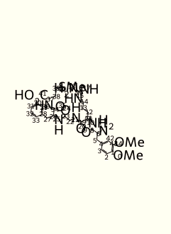 COc1ccc(CC(N)C(=O)N[C@H](CCCNC(=N)N)C(=O)NCC(=O)NC(Cc2ccccc2)C(=O)NC(CCSC)C(=O)O)cc1OC